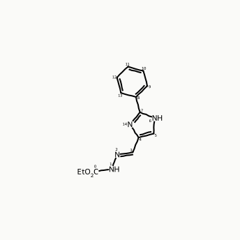 CCOC(=O)NN=Cc1c[nH]c(-c2ccccc2)n1